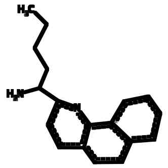 CCCCC(N)c1ccc2ccc3ccccc3c2n1